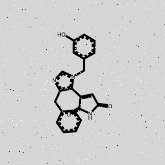 O=C1C=C(c2c(Cc3ccccc3)ncn2Cc2cccc(O)c2)C(=O)N1